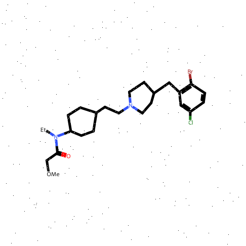 CCN(C(=O)COC)C1CCC(CCN2CCC(Cc3cc(Cl)ccc3Br)CC2)CC1